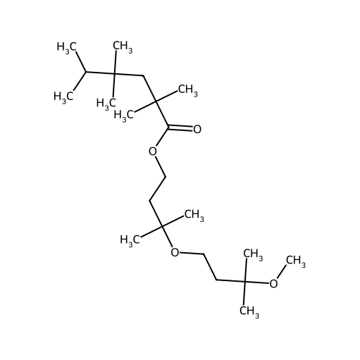 COC(C)(C)CCOC(C)(C)CCOC(=O)C(C)(C)CC(C)(C)C(C)C